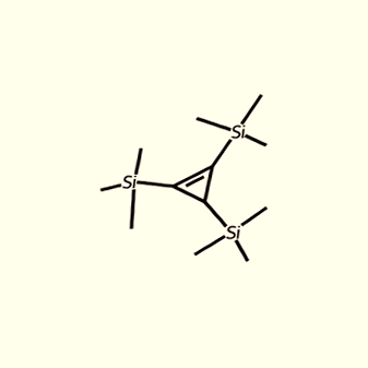 C[Si](C)(C)C1=C([Si](C)(C)C)C1[Si](C)(C)C